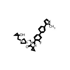 Cn1nccc1-c1ccc(-c2ccc(C3=NC4(CC4)C(=O)N3C[C@@H]3CCN(CC4(O)CC4)C3)c(F)c2)cc1